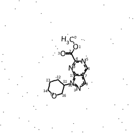 COC(=O)c1ncc2cnn(C3CCCOC3)c2n1